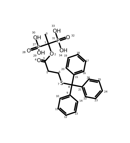 CC(OC(=O)CCSC(c1ccccc1)(c1ccccc1)c1ccccc1)(P(=O)(O)O)P(=O)(O)O